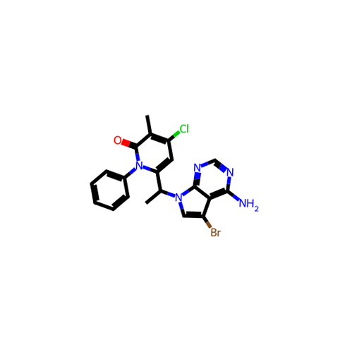 Cc1c(Cl)cc(C(C)n2cc(Br)c3c(N)ncnc32)n(-c2ccccc2)c1=O